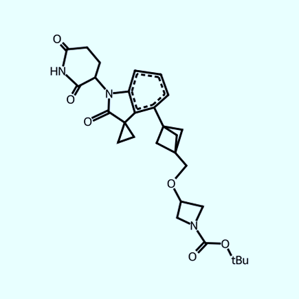 CC(C)(C)OC(=O)N1CC(OCC23CC(c4cccc5c4C4(CC4)C(=O)N5C4CCC(=O)NC4=O)(C2)C3)C1